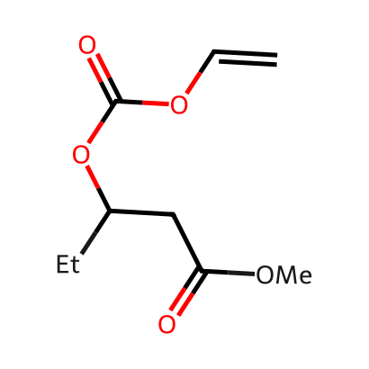 C=COC(=O)OC(CC)CC(=O)OC